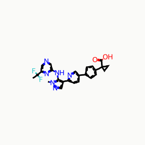 Cn1ncc(-c2ccc(-c3ccc(C4(C(=O)O)CC4)cc3)cn2)c1Nc1cncc(C(C)(F)F)n1